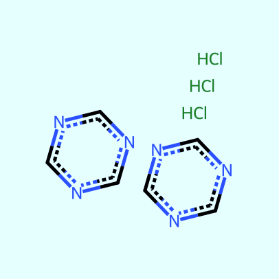 Cl.Cl.Cl.c1ncncn1.c1ncncn1